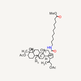 C=C(COC(C)=O)[C@@H]1CC[C@]2(C(=O)NCCCCCCCCCCC(=O)OC)CC[C@]3(C)[C@H](CCC4[C@@]5(C)CC[C@H](OC(C)=O)C(C)(C)[C@@H]5CC[C@]43C)[C@@H]12